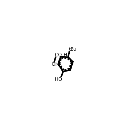 CC(C)(C)c1ccc(O)cc1.O=C(O)O